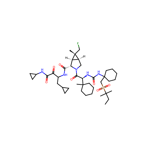 CCC(C)(C)S(=O)(=O)CC1(NC(=O)N[C@H](C(=O)N2C[C@H]3[C@@H]([C@H]2C(=O)NC(CC2CC2)C(=O)C(=O)NC2CC2)[C@]3(C)CF)C2(C)CCCCC2)CCCCC1